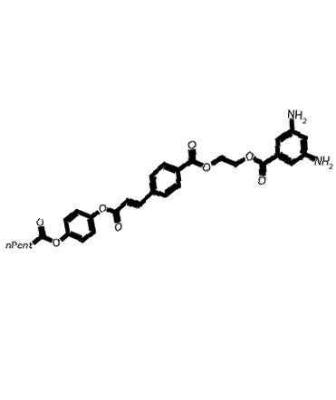 CCCCCC(=O)Oc1ccc(OC(=O)/C=C/c2ccc(C(=O)OCCOC(=O)c3cc(N)cc(N)c3)cc2)cc1